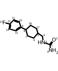 NC(=O)NCC1CCC(c2ccc(F)cc2)CC1